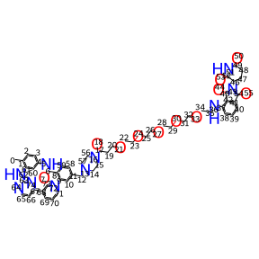 Cc1ccc(NC(=O)c2ccc(CN3CCN(C(=O)CCOCCOCCOCCOCCOCCNc4cccc5c4C(=O)N(C4CCC(=O)NC4=O)C5=O)CC3)cc2)cc1Nc1nccc(-c2cccnc2)n1